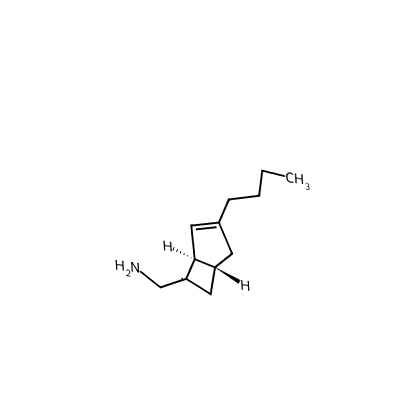 CCCCC1=C[C@@H]2[C](CN)C[C@H]2C1